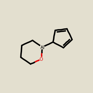 C1=C[CH]([Al]2[CH2]CCC[O]2)C=C1